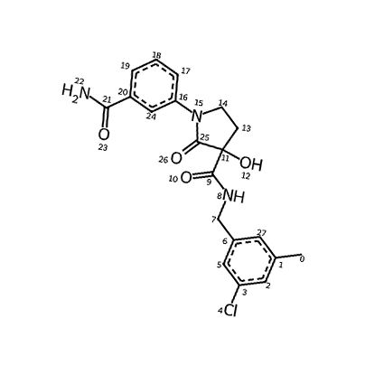 Cc1cc(Cl)cc(CNC(=O)C2(O)CCN(c3cccc(C(N)=O)c3)C2=O)c1